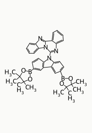 CC1(C)OB(c2ccc3c(c2)c2cc(B4OC(C)(C)C(C)(C)O4)ccc2n3-c2nc3ccccc3c3nc4ccccc4n23)OC1(C)C